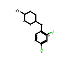 CC1CCC(Cc2ccc(Cl)cc2Cl)CC1